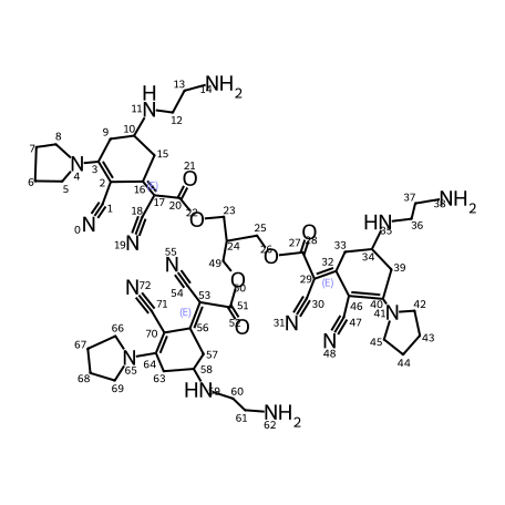 N#CC1=C(N2CCCC2)CC(NCCN)C/C1=C(/C#N)C(=O)OCC(COC(=O)/C(C#N)=C1\CC(NCCN)CC(N2CCCC2)=C1C#N)COC(=O)/C(C#N)=C1\CC(NCCN)CC(N2CCCC2)=C1C#N